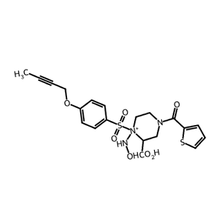 CC#CCOc1ccc(S(=O)(=O)[N+]2(NO)CCN(C(=O)c3cccs3)CC2C(=O)O)cc1